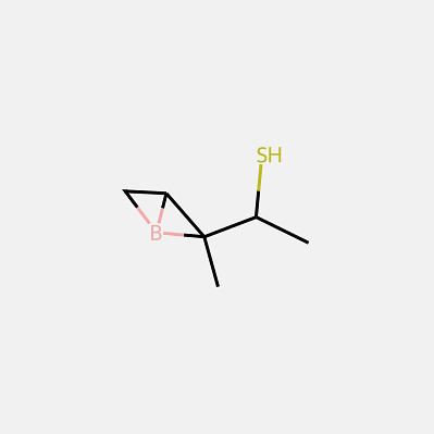 CC(S)C1(C)B2CC21